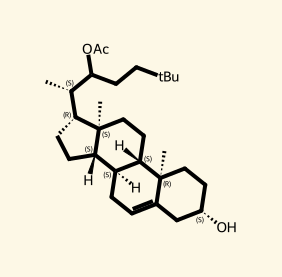 CC(=O)OC(CCC(C)(C)C)[C@@H](C)[C@H]1CC[C@H]2[C@@H]3CC=C4C[C@@H](O)CC[C@]4(C)[C@H]3CC[C@]12C